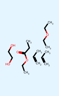 C=CC.C=CC.CCOC(=O)CC.CCOCC.OCCO